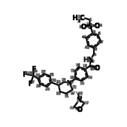 CCS(=O)(=O)c1ccc(CNC(=O)c2ccc(N3CC(c4ccc(C(F)(F)F)cc4)CC[C@H]3CN3COC3)cc2)cc1